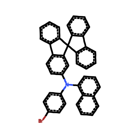 Brc1ccc(N(c2ccc3c(c2)C2(c4ccccc4-c4ccccc42)c2ccccc2-3)c2cccc3ccccc23)cc1